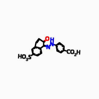 O=C1C=Cc2cc(S(=O)(=O)O)ccc2/C1=N/Nc1ccc(C(=O)O)cc1